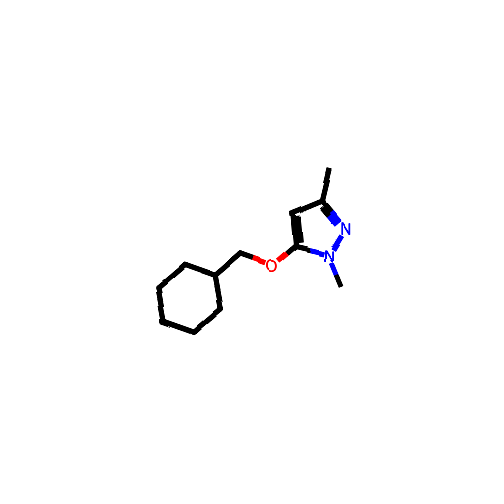 Cc1cc(OCC2CCCCC2)n(C)n1